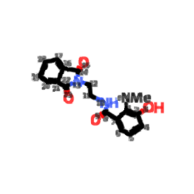 CNc1c(O)cccc1C(=O)NCCN1C(=O)c2ccccc2C1=O